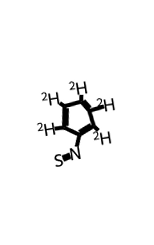 [2H]c1c([2H])c([2H])c(N=S)c([2H])c1[2H]